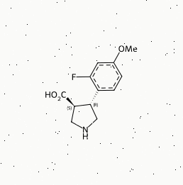 COc1ccc([C@@H]2CNC[C@H]2C(=O)O)c(F)c1